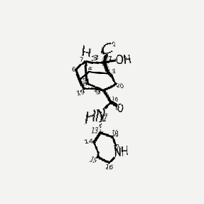 CC1(O)C2CC3CC1CC(C(=O)N[C@H]1CCCNC1)(C3)C2